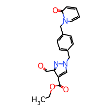 CCOC(=O)c1cn(Cc2ccc(Cn3ccccc3=O)cc2)nc1C=O